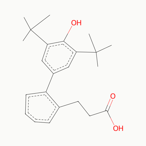 CC(C)(C)c1cc(-c2ccccc2CCC(=O)O)cc(C(C)(C)C)c1O